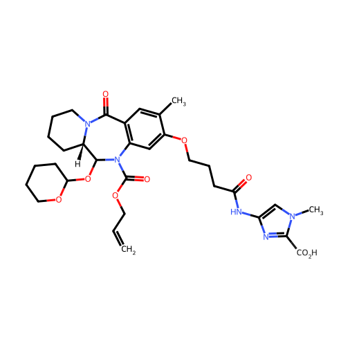 C=CCOC(=O)N1c2cc(OCCCC(=O)Nc3cn(C)c(C(=O)O)n3)c(C)cc2C(=O)N2CCCC[C@H]2C1OC1CCCCO1